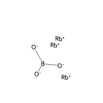 [O-]B([O-])[O-].[Rb+].[Rb+].[Rb+]